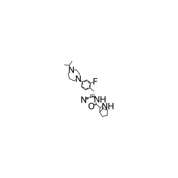 CC(C)N1CCCN(c2ccc(C[C@@H](C#N)NC(=O)C3NC4CCC3C4)c(F)c2)CC1